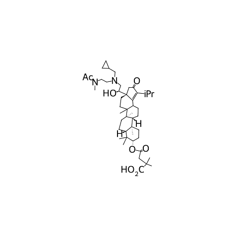 CC(=O)N(C)CCN(CC1CC1)C[C@H](O)[C@@]12CCC3(C)C(CC[C@@H]4[C@@]5(C)CC[C@H](OC(=O)CC(C)(C)C(=O)O)C(C)(C)[C@@H]5CC[C@]43C)C1=C(C(C)C)C(=O)C2